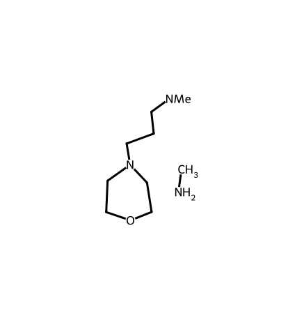 CN.CNCCCN1CCOCC1